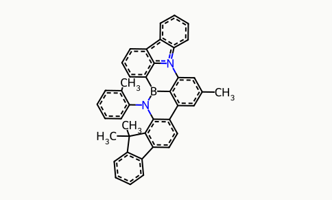 Cc1cc2c3c(c1)-n1c4ccccc4c4cccc(c41)B3N(c1ccccc1C)c1c-2ccc2c1C(C)(C)c1ccccc1-2